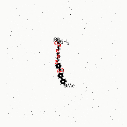 COc1ccc(-c2ccc(OC(=O)c3ccc(OCCOCCOCCOC(=O)C(C)C(C)(C)C)cc3)cc2)cc1